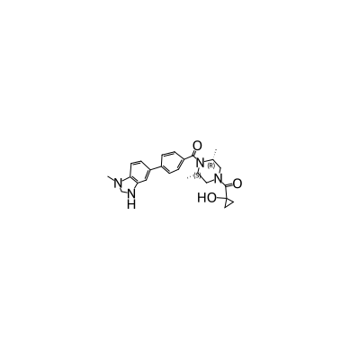 C[C@@H]1CN(C(=O)C2(O)CC2)C[C@H](C)N1C(=O)c1ccc(-c2ccc3c(c2)NCN3C)cc1